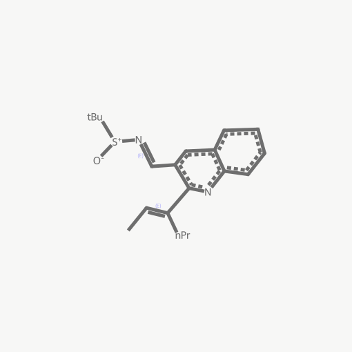 C/C=C(\CCC)c1nc2ccccc2cc1/C=N/[S+]([O-])C(C)(C)C